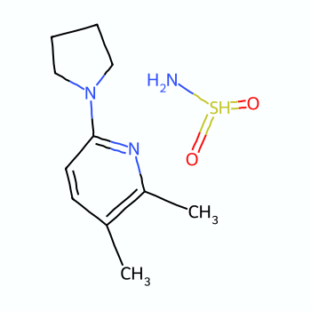 Cc1ccc(N2CCCC2)nc1C.N[SH](=O)=O